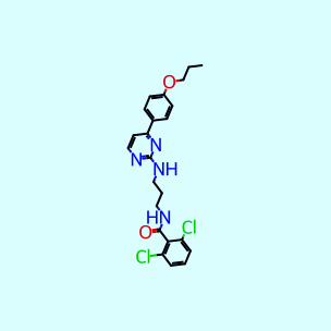 CCCOc1ccc(-c2ccnc(NCCCNC(=O)c3c(Cl)cccc3Cl)n2)cc1